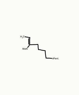 C/C=C(/CCCCCCCCC)NC